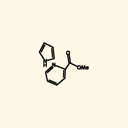 COC(=O)c1ccccn1.c1cc[nH]c1